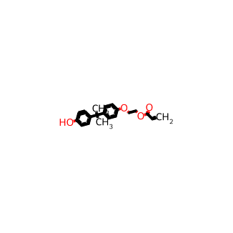 C=CC(=O)OCCOc1ccc(C(C)(C)c2c#cc(O)cc2)cc1